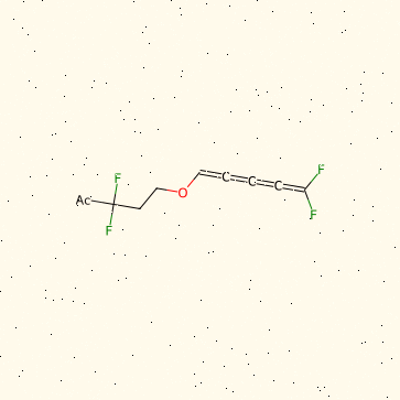 CC(=O)C(F)(F)CCOC=C=C=C=C(F)F